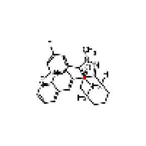 Cn1nc2c(c1-c1cc(F)cc(F)c1)C[C@H]1CCC[C@@H]2N1C(=O)c1cnc2ncccc2c1